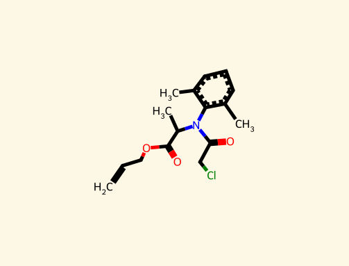 C=CCOC(=O)C(C)N(C(=O)CCl)c1c(C)cccc1C